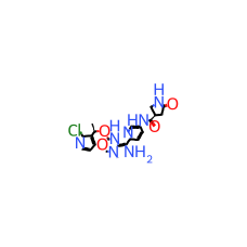 C[C@@H](OC(=O)N/C(=C(/N)c1ccc(NC(=O)[C@H]2CNC(=O)C2)cn1)N(C)C)c1cccnc1Cl